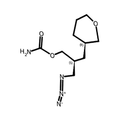 [N-]=[N+]=NC[C@@H](COC(N)=O)C[C@H]1CCCOC1